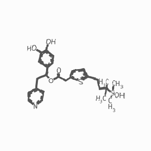 CC(C)(CCc1ccc(CC(=O)OC(Cc2ccncc2)c2ccc(O)c(O)c2)s1)[Si](C)(C)O